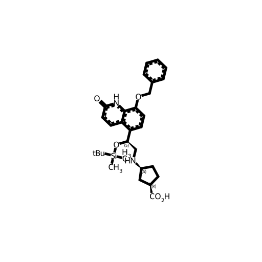 CC(C)(C)[Si](C)(C)O[C@H](CN[C@H]1CC[C@@H](C(=O)O)C1)c1ccc(OCc2ccccc2)c2[nH]c(=O)ccc12